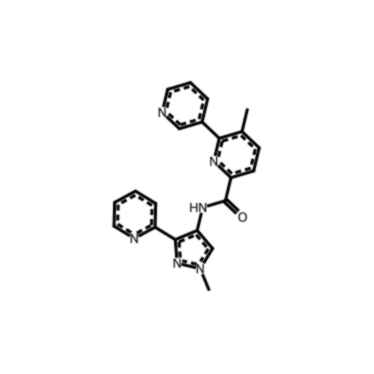 Cc1ccc(C(=O)Nc2cn(C)nc2-c2ccccn2)nc1-c1cccnc1